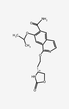 CC(C)Oc1cc2c(OCC[C@@H]3COC(=O)N3)nccc2cc1C(N)=O